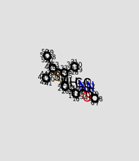 C=N/C(=C1/Oc2ccccc2/C1=N/C)c1cccc(-c2cccc(-c3cc(-c4ccccc4)cc4c3sc3c(-c5ccccc5)cc(-c5ccccc5)cc34)c2)c1